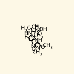 COc1cc(Nc2nc(N[C@H](C(C)C)[C@H](C)NC(=O)O)c(F)cc2C#N)cc(OC)n1